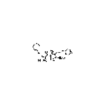 CNC(=O)C(CCCC1CCOCC1)N(NC(=O)C(CCCC1CCCCCC1)NC(C)=O)C(C)=O